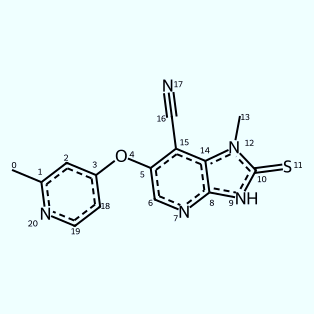 Cc1cc(Oc2cnc3[nH]c(=S)n(C)c3c2C#N)ccn1